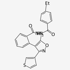 CCc1ccc(C(=O)Nc2onc(-c3ccsc3)c2-c2ccccc2C(N)=O)cc1